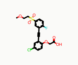 COCCS(=O)(=O)c1ccc(F)c(C#Cc2cc(Cl)ccc2OCC(=O)O)c1